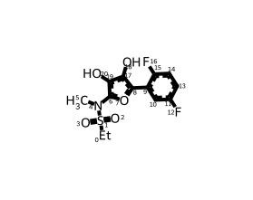 CCS(=O)(=O)N(C)c1oc(-c2cc(F)ccc2F)c(O)c1O